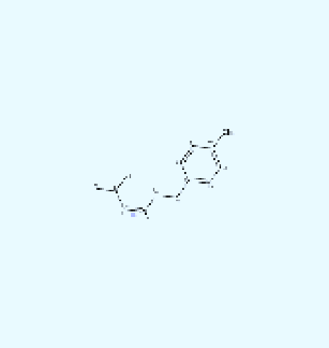 CC(C)/[C]=N\OCc1ccc(Cl)cc1